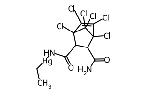 C[CH2][Hg][NH]C(=O)C1C(C(N)=O)C2(Cl)C(Cl)=C(Cl)C1(Cl)C2(Cl)Cl